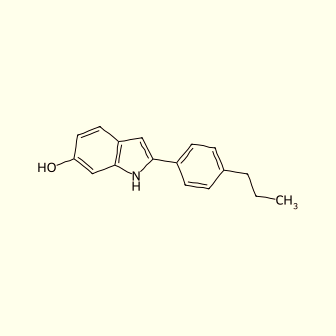 CCCc1ccc(-c2cc3ccc(O)cc3[nH]2)cc1